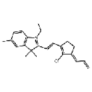 C=C/C=C1\CCC(/C=C/C2=[N+](CC)c3ccc(C)cc3C2(C)C)=C1Cl